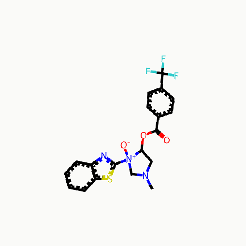 CN1CC(OC(=O)c2ccc(C(F)(F)F)cc2)[N+]([O-])(c2nc3ccccc3s2)C1